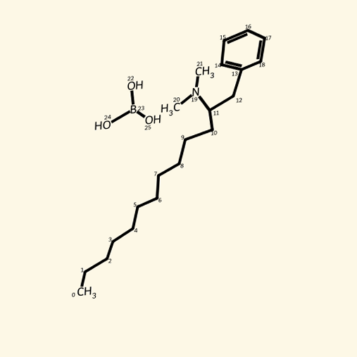 CCCCCCCCCCCC(Cc1ccccc1)N(C)C.OB(O)O